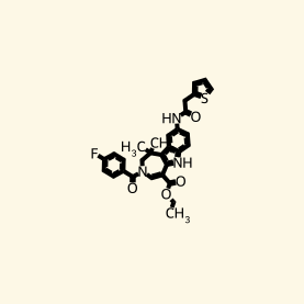 CCOC(=O)C1=CN(C(=O)c2ccc(F)cc2)CC(C)(C)c2c1[nH]c1ccc(NC(=O)Cc3cccs3)cc21